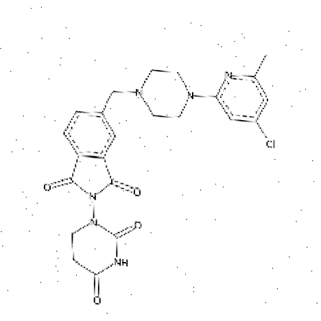 Cc1cc(Cl)cc(N2CCN(Cc3ccc4c(c3)C(=O)N(N3CCC(=O)NC3=O)C4=O)CC2)n1